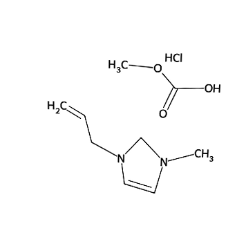 C=CCN1C=CN(C)C1.COC(=O)O.Cl